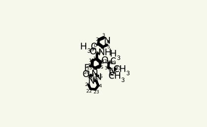 Cc1ccncc1NC(=O)c1cc(F)c(-n2nc3n(c2=O)CCCC3)cc1O[C@@H](C)CN(C)C